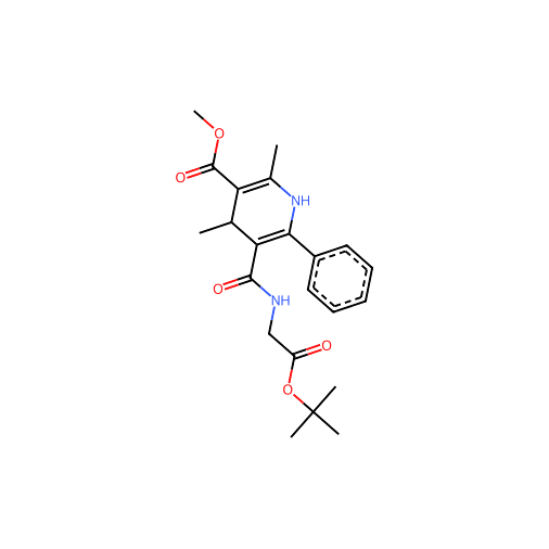 COC(=O)C1=C(C)NC(c2ccccc2)=C(C(=O)NCC(=O)OC(C)(C)C)C1C